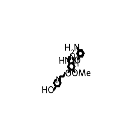 COC1C[C@H]2C(Oc3cccc(N)c3)=NCNC2C=C1OCCCN1CCC(CO)CC1